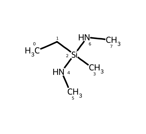 CC[Si](C)(NC)NC